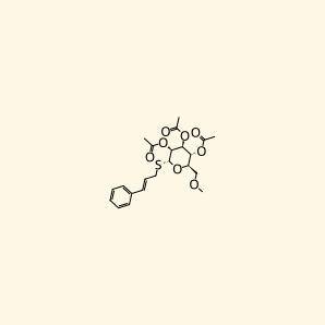 COC[C@H]1O[C@H](SCC=Cc2ccccc2)[C@@H](OC(C)=O)[C@@H](OC(C)=O)[C@@H]1OC(C)=O